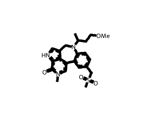 COCCC(C)N1Cc2c[nH]c3c(=O)n(C)cc(c23)-c2cc(CS(C)(=O)=O)ccc21